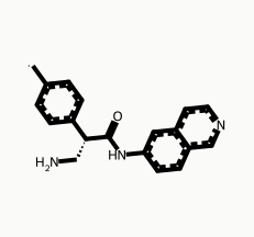 [CH2]c1ccc([C@@H](CN)C(=O)Nc2ccc3cnccc3c2)cc1